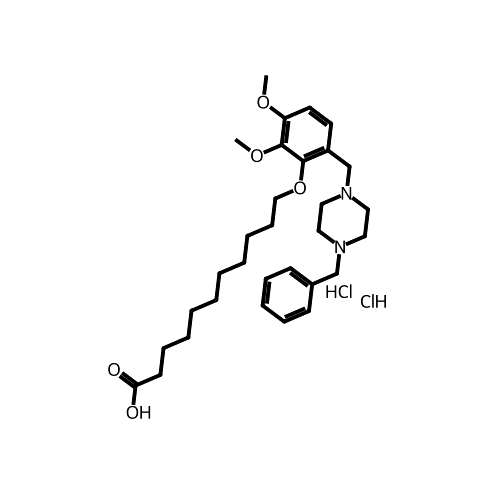 COc1ccc(CN2CCN(Cc3ccccc3)CC2)c(OCCCCCCCCCCC(=O)O)c1OC.Cl.Cl